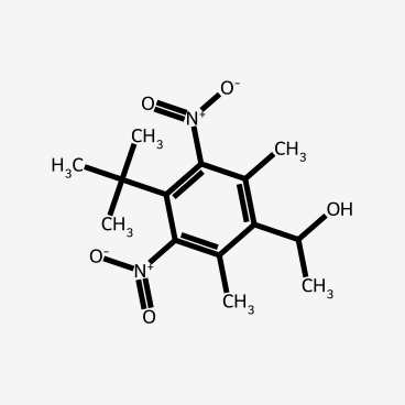 Cc1c(C(C)O)c(C)c([N+](=O)[O-])c(C(C)(C)C)c1[N+](=O)[O-]